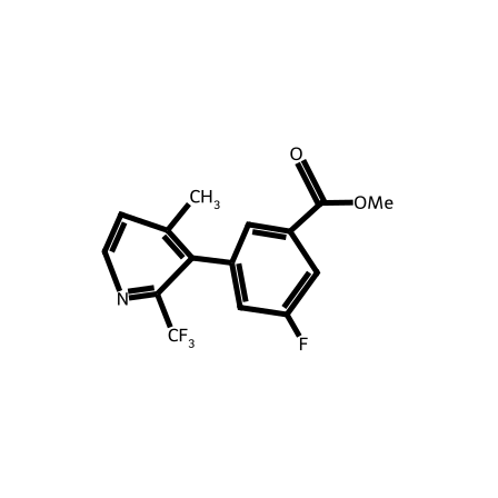 COC(=O)c1cc(F)cc(-c2c(C)ccnc2C(F)(F)F)c1